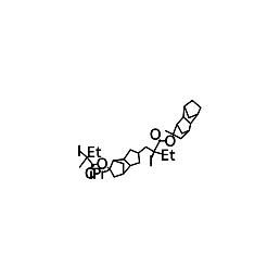 CCC(C)(I)C(=O)OC1(C(C)C)CC2CC1C1CC(CC(I)(CC)C(=O)OC3(C)CC4CC3C3C5CCC(C5)C43)CC21